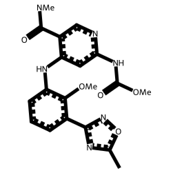 CNC(=O)c1cnc(NC(=O)OC)cc1Nc1cccc(-c2noc(C)n2)c1OC